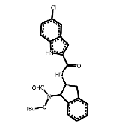 CC(C)(C)ON(C=O)C1c2ccccc2CC1NC(=O)c1cc2cc(Cl)ccc2[nH]1